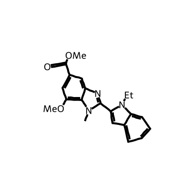 CCn1c(-c2nc3cc(C(=O)OC)cc(OC)c3n2C)cc2ccccc21